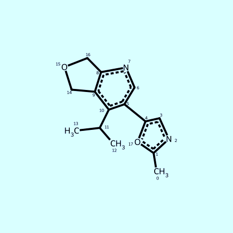 Cc1ncc(-c2cnc3c(c2C(C)C)COC3)o1